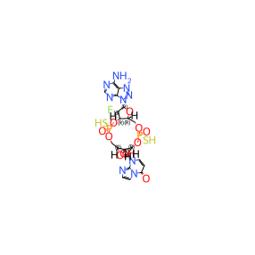 Nc1ncnc2c1nnn2[C@@H]1O[C@@H]2COP(=O)(S)O[C@@H]3[C@H](O)[C@@H](COP(=O)(S)O[C@H]2[C@@H]1F)O[C@H]3n1ccc(=O)n2ccnc12